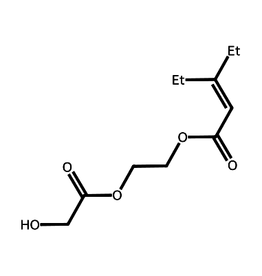 CCC(=CC(=O)OCCOC(=O)CO)CC